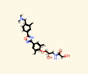 Cc1cc(-c2nc(-c3cc(C)c(OC[C@@H](O)CNC(=O)CO)c(C)c3)no2)ccc1CN(C)C